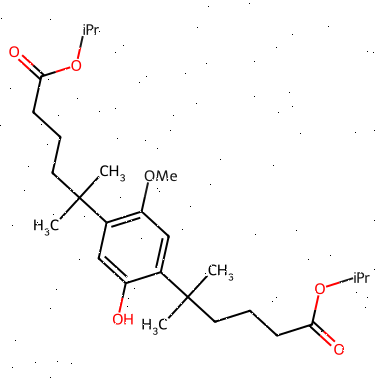 COc1cc(C(C)(C)CCCC(=O)OC(C)C)c(O)cc1C(C)(C)CCCC(=O)OC(C)C